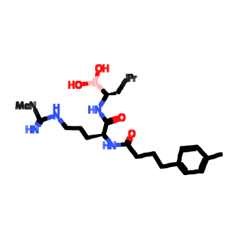 CNC(=N)NCCC[C@H](NC(=O)CCCc1ccc(C)cc1)C(=O)N[C@@H](CC(C)C)B(O)O